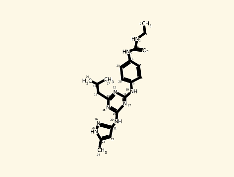 CCNC(=O)Nc1ccc(Nc2nc(CC(C)C)nc(Nc3cc(C)[nH]n3)n2)cc1